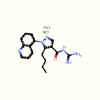 CCCCc1c(C(=O)NC(=N)N)cnn1-c1cccc2ncccc12.Cl.Cl